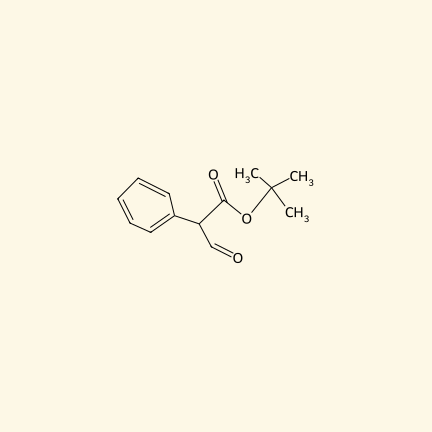 CC(C)(C)OC(=O)C(C=O)c1ccccc1